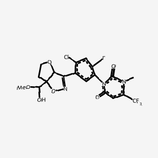 COC(O)C12CCOC1C(c1cc(-n3c(=O)cc(C(F)(F)F)n(C)c3=O)c(F)cc1Cl)=NO2